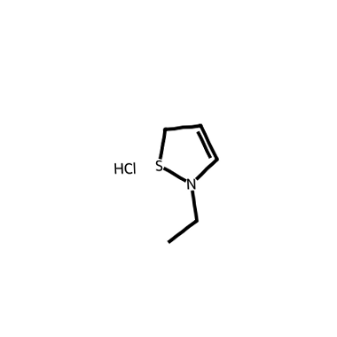 CCN1C=CCS1.Cl